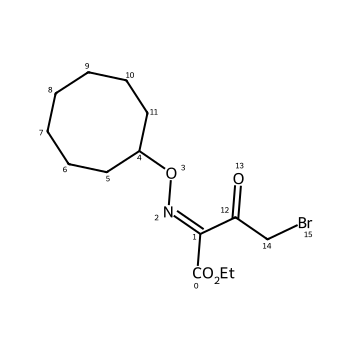 CCOC(=O)C(=NOC1CCCCCCC1)C(=O)CBr